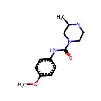 COc1ccc(NC(=O)N2CCNC(C)C2)cc1